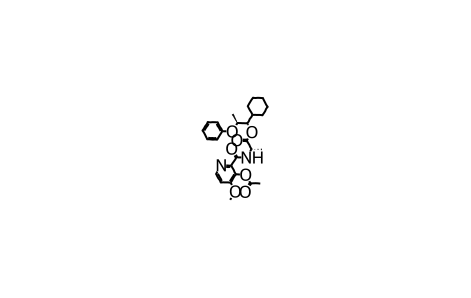 COc1ccnc(C(=O)N[C@@H](C)C(=O)O[C@@H](C2CCCCC2)[C@H](C)Oc2ccccc2)c1OC(C)=O